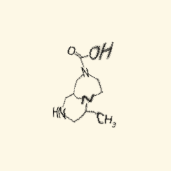 CC1CNCC2CN(C(=O)O)CCN12